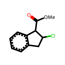 COC(=O)C1c2ccccc2CC1Cl